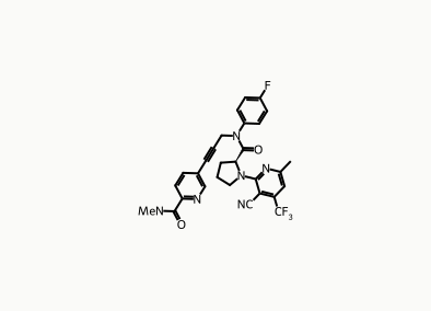 CNC(=O)c1ccc(C#CCN(C(=O)[C@@H]2CCCN2c2nc(C)cc(C(F)(F)F)c2C#N)c2ccc(F)cc2)cn1